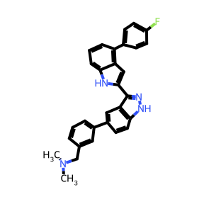 CN(C)Cc1cccc(-c2ccc3[nH]nc(-c4cc5c(-c6ccc(F)cc6)cccc5[nH]4)c3c2)c1